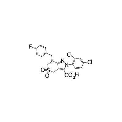 O=C(O)c1c2c(nn1-c1ccc(Cl)cc1Cl)/C(=C/c1ccc(F)cc1)CS(=O)(=O)C2